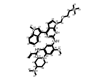 C=CC(=O)Nc1cc(Nc2nc(-c3cn(C)c4ccccc34)c3ccn(COCC[Si](C)(C)C)c3n2)c(OC)cc1N1CCC(N(C)C)CC1